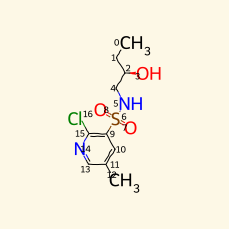 CC[C@@H](O)CNS(=O)(=O)c1cc(C)cnc1Cl